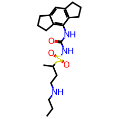 CCCNCCC(C)S(=O)(=O)NC(=O)Nc1c2c(cc3c1CCC3)CCC2